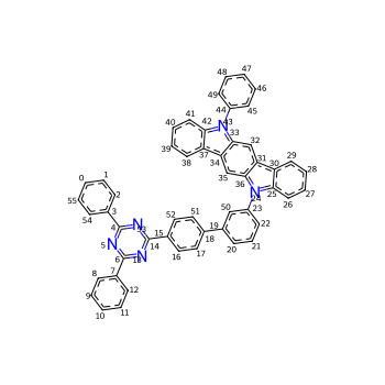 c1ccc(-c2nc(-c3ccccc3)nc(-c3ccc(-c4cccc(-n5c6ccccc6c6cc7c(cc65)c5ccccc5n7-c5ccccc5)c4)cc3)n2)cc1